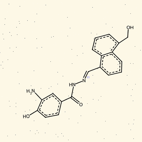 Nc1cc(C(=O)N/N=C/c2cccc3c(CO)cccc23)ccc1O